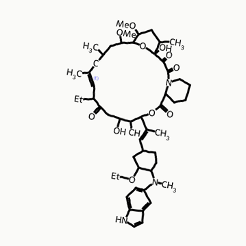 CCOC1CC(C=C(C)C2OC(=O)C3CCCCN3C(=O)C(=O)C3(O)OC(C(OC)CC(C)C/C(C)=C/C(CC)C(=O)CC(O)C2C)C(OC)CC3C)CCC1N(C)c1ccc2[nH]ccc2c1